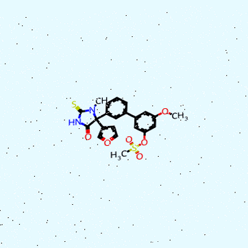 COc1cc(OS(C)(=O)=O)cc(-c2cccc(C3(c4ccoc4)C(=O)NC(=S)N3C)c2)c1